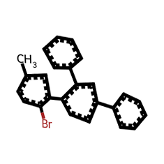 Cc1ccc(Br)c(-c2ccc(-c3ccccc3)cc2-c2ccccc2)c1